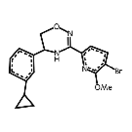 COc1nc(C2=NOCC(c3cccc(C4CC4)c3)N2)ccc1Br